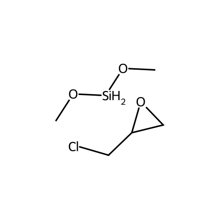 CO[SiH2]OC.ClCC1CO1